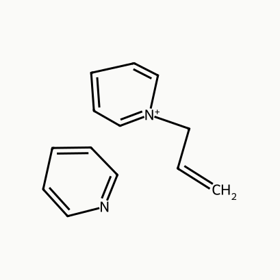 C=CC[n+]1ccccc1.c1ccncc1